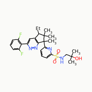 CCC1c2cc(-c3c(F)cccc3F)nnc2C(C)(c2cccc(S(=O)(=O)NCC(C)(C)O)n2)C1(C)C